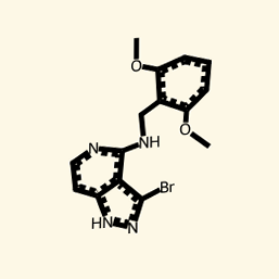 COc1cccc(OC)c1CNc1nccc2[nH]nc(Br)c12